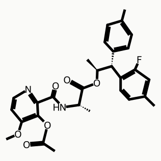 COc1ccnc(C(=O)N[C@@H](C)C(=O)O[C@@H](C)[C@H](c2ccc(C)cc2)c2ccc(C)cc2F)c1OC(C)=O